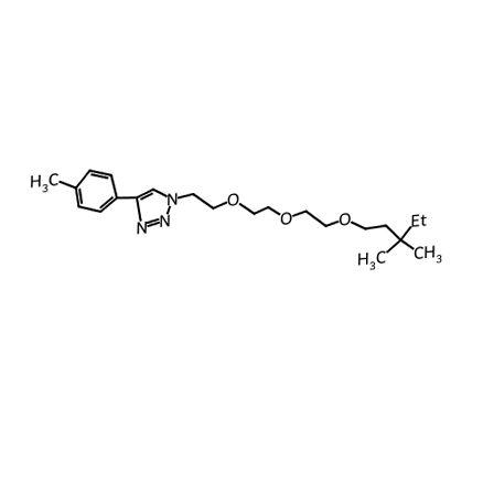 CCC(C)(C)CCOCCOCCOCCn1cc(-c2ccc(C)cc2)nn1